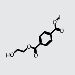 O=C(OI)c1ccc(C(=O)OCCO)cc1